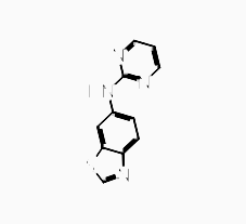 c1cnc(Nc2ccc3ncsc3c2)nc1